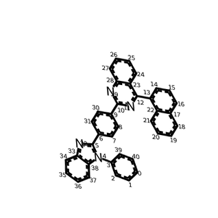 c1ccc(-n2c(-c3ccc(-c4nc(-c5cccc6ccccc56)c5ccccc5n4)cc3)nc3ccccc32)cc1